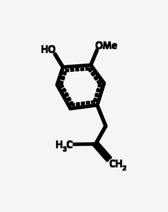 C=C(C)Cc1ccc(O)c(OC)c1